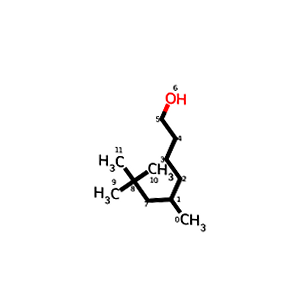 CC(CCCCO)CC(C)(C)C